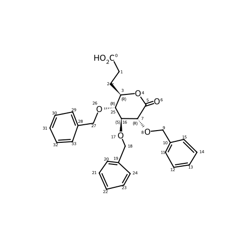 O=C(O)C[CH][C@H]1OC(=O)[C@H](OCc2ccccc2)[C@@H](OCc2ccccc2)[C@@H]1OCc1ccccc1